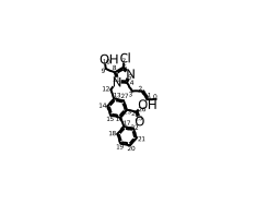 CC=CCc1nc(Cl)c(CO)n1Cc1ccc(-c2ccccc2)c(C(=O)O)c1